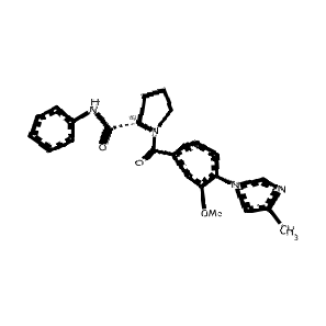 COc1cc(C(=O)N2CCC[C@H]2C(=O)Nc2ccccc2)ccc1-n1cnc(C)c1